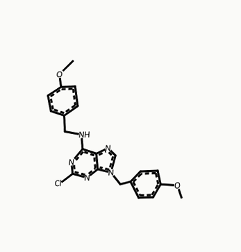 COc1ccc(CNc2nc(Cl)nc3c2ncn3Cc2ccc(OC)cc2)cc1